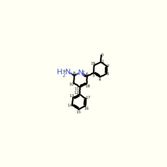 CC1C=CC=C(C2=NC(N)CC(c3ccccc3)=C2)C1